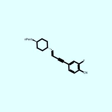 CCCCC[C@H]1CC[C@H](/C=C/C#Cc2ccc(C#N)c(F)c2)CC1